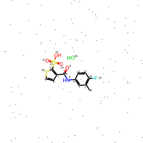 Cc1cc(NC(=O)c2ccsc2S(=O)(=O)O)ccc1F.Cl